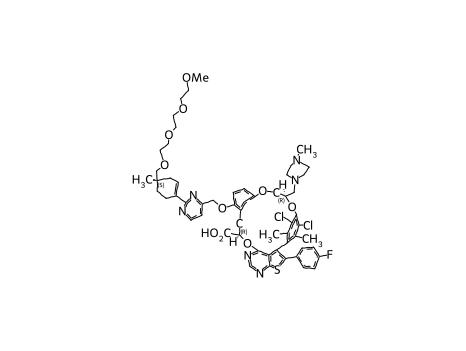 COCCOCCOCCOC[C@]1(C)CC=C(c2nccc(COc3ccc4cc3C[C@H](C(=O)O)Oc3ncnc5sc(-c6ccc(F)cc6)c(c35)-c3c(C)c(Cl)c(c(Cl)c3C)O[C@H](CN3CCN(C)CC3)CO4)n2)CC1